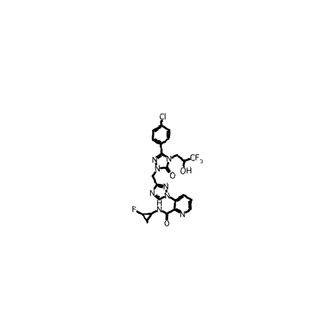 O=C(NC1CC1F)c1ncccc1-n1cnc(Cn2nc(-c3ccc(Cl)cc3)n(CC(O)C(F)(F)F)c2=O)n1